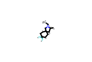 CC(C)CN1CC2(CCC(F)(F)CC2)CC1C